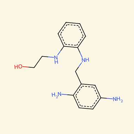 Nc1ccc(N)c(CNc2ccccc2NCCO)c1